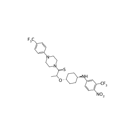 CC(O[C@H]1CC[C@H](Nc2ccc([N+](=O)[O-])c(C(F)(F)F)c2)CC1)C(=S)N1CCN(c2ccc(C(F)(F)F)cc2)CC1